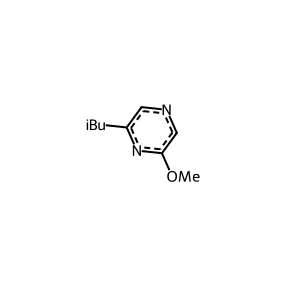 CCC(C)c1cncc(OC)n1